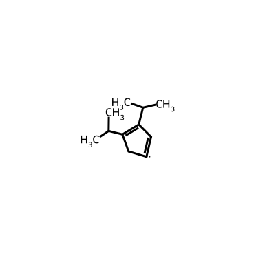 CC(C)C1=C(C(C)C)C[C]=C1